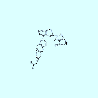 C[C@@H](Oc1ccc2[nH]nc(-c3ccc4c(c3)COC3(CCN(CC(F)F)CC3)O4)c2c1)c1c(Cl)cncc1Cl